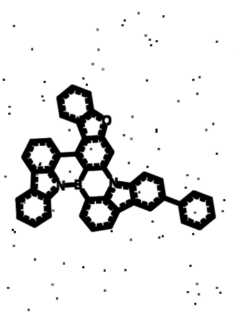 c1ccc(-c2ccc3c(c2)c2cccc4c2n3-c2cc3oc5ccccc5c3c3c2B4n2c4ccccc4c4cccc-3c42)cc1